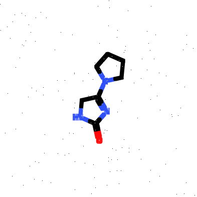 O=C1N=C(N2CCCC2)CN1